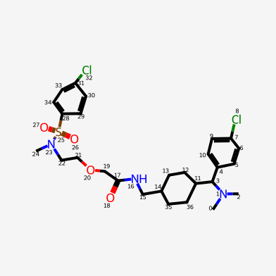 CN(C)C(c1ccc(Cl)cc1)C1CCC(CNC(=O)COCCN(C)S(=O)(=O)c2ccc(Cl)cc2)CC1